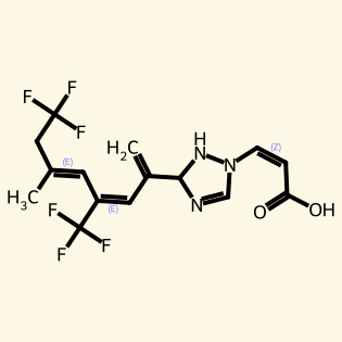 C=C(/C=C(\C=C(/C)CC(F)(F)F)C(F)(F)F)C1N=CN(/C=C\C(=O)O)N1